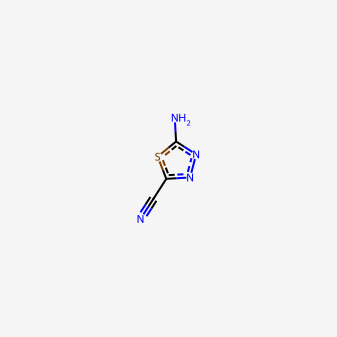 N#Cc1nnc(N)s1